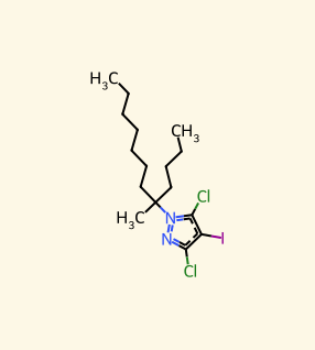 CCCCCCCC(C)(CCCC)n1nc(Cl)c(I)c1Cl